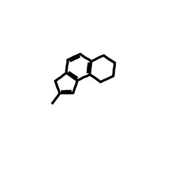 CC1=Cc2c(ccc3c2CCCC3)C1